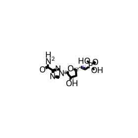 NC(=O)c1ncn([C@@H]2O[C@H](/C=C/P(=O)(O)O)C[C@H]2O)n1